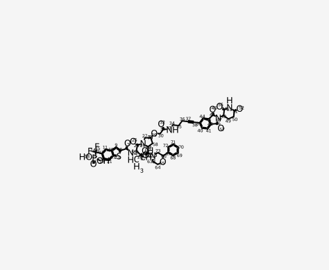 CC(C)(C)[C@H](NC(=O)c1cc2cc(C(F)(F)P(=O)(O)O)ccc2s1)C(=O)N1C[C@@H](OCC(=O)NCCCC#Cc2ccc3c(c2)C(=O)N(C2CCC(=O)NC2=O)C3=O)C[C@H]1C(=O)N1CCOC(c2ccccc2)C1